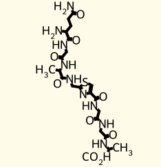 CC(NC(=O)CNC(=O)CNC(=O)c1csc(CNC(=O)C(C)NC(=O)CNC(=O)C(N)CCC(N)=O)n1)C(=O)O